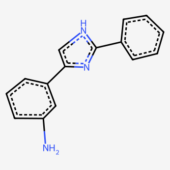 Nc1cccc(-c2c[nH]c(-c3ccccc3)n2)c1